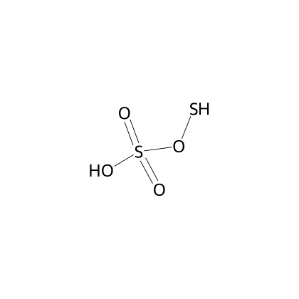 O=S(=O)(O)OS